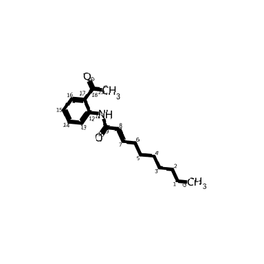 CCCCCCC/C=C/C(=O)Nc1ccccc1C(C)=O